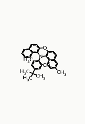 Cc1ccc2c3c(ccc2c1)Oc1ccc2ccccc2c1N3c1c(C)cc(C(C)(C)C)cc1C